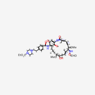 CCOC(=O)N1CCN(CCc2ccc(C(=O)NC3=C4C[C@@H](C)C[C@H](OC)[C@H](O)[C@@H](C)/C=C(\C)[C@H](NOC=O)C(OC)/C=C\C=C(/C)C(=O)NC(=CC3=O)C4=O)cc2)CC1